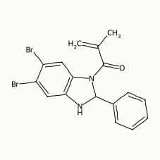 C=C(C)C(=O)N1c2cc(Br)c(Br)cc2NC1c1ccccc1